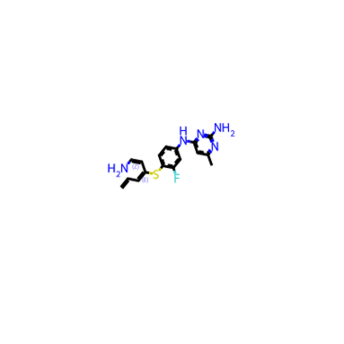 C=C/C=C(\C=C/N)Sc1ccc(Nc2cc(C)nc(N)n2)cc1F